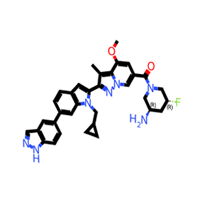 COc1cc(C(=O)N2C[C@H](N)C[C@@H](F)C2)cn2nc(-c3cc4ccc(-c5ccc6[nH]ncc6c5)cc4n3CC3CC3)c(C)c12